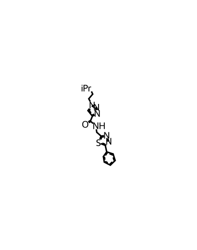 CC(C)CCn1cc(C(=O)NCc2nnc(-c3ccccc3)s2)nn1